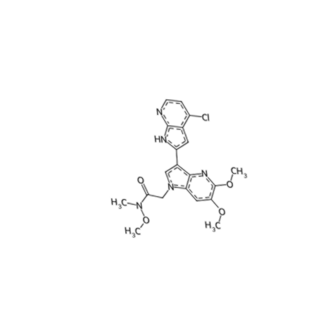 COc1cc2c(nc1OC)c(-c1cc3c(Cl)ccnc3[nH]1)cn2CC(=O)N(C)OC